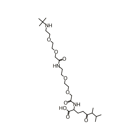 CC(C)C(C)C(=O)CCC(NC(=O)COCCOCCNC(=O)COCCOCCNC(C)(C)C)C(=O)O